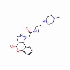 CN1CCN(CCCNC(=O)Cn2ncc3c(=O)oc4ccccc4c32)CC1